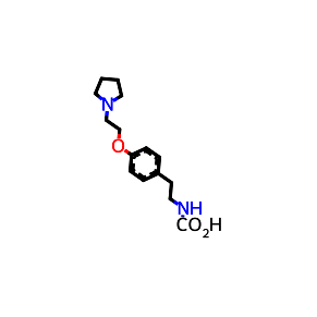 O=C(O)NCCc1ccc(OCCN2CCCC2)cc1